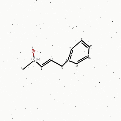 C[SiH](Br)C=CCc1ccccc1